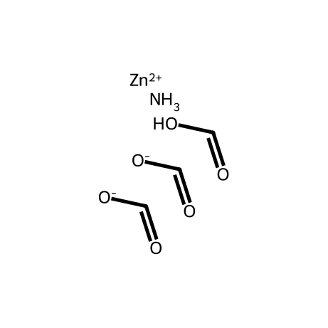 N.O=CO.O=C[O-].O=C[O-].[Zn+2]